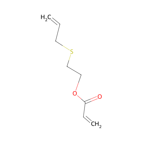 C=CCSCCOC(=O)C=C